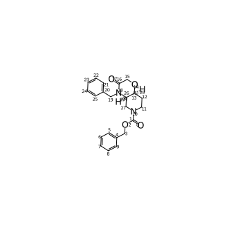 O=C(OCc1ccccc1)N1CC[C@@H]2OCC(=O)N(Cc3ccccc3)[C@@H]2C1